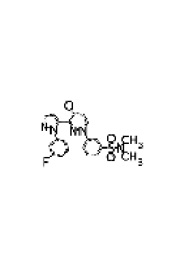 CN(C)S(=O)(=O)c1cccc(-n2ccc(=O)c(-c3ccnn3-c3cccc(F)c3)n2)c1